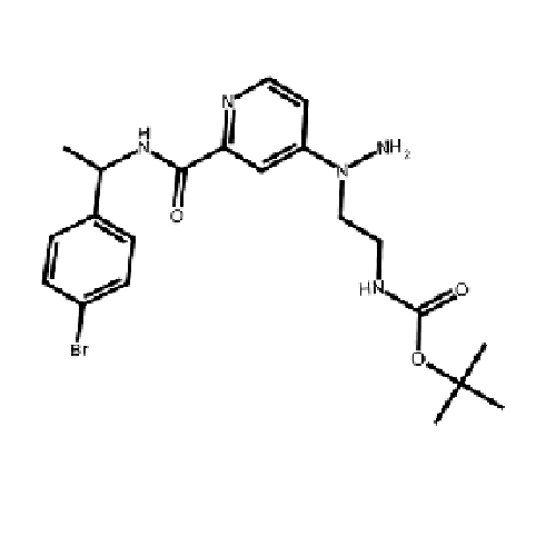 CC(NC(=O)c1cc(N(N)CCNC(=O)OC(C)(C)C)ccn1)c1ccc(Br)cc1